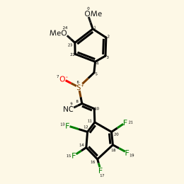 COc1ccc(C[S+]([O-])C(C#N)=Cc2c(F)c(F)c(F)c(F)c2F)cc1OC